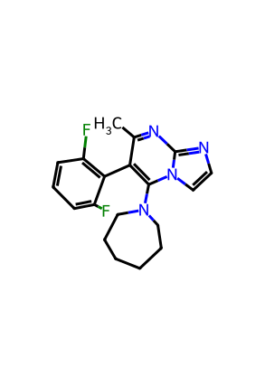 Cc1nc2nccn2c(N2CCCCCC2)c1-c1c(F)cccc1F